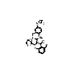 CN(C(=O)N(CC1OCCO1)C(=O)c1c(F)cccc1F)c1ccc(SC(F)(F)F)cc1F